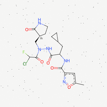 Cc1cc(C(=O)NC(CC2CC2)C(=O)NN(C[C@@H]2CCNC2=O)C(=O)C(F)Cl)no1